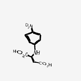 O=C(O)/C=C(\Nc1ccc([N+](=O)[O-])cc1)C(=O)O